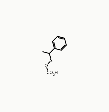 CC(SOC(=O)O)c1ccccc1